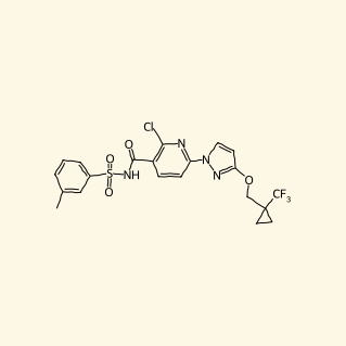 Cc1cccc(S(=O)(=O)NC(=O)c2ccc(-n3ccc(OCC4(C(F)(F)F)CC4)n3)nc2Cl)c1